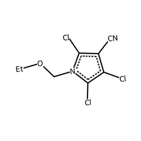 CCOCn1c(Cl)c(Cl)c(C#N)c1Cl